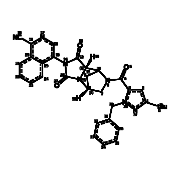 CC(C)(C)c1cc(C(=O)N2C[C@H]3CC2[C@H]2C(=O)N(c4cnc(C#N)c5ccccc45)C(=O)N32)n(Cc2ccccc2)n1